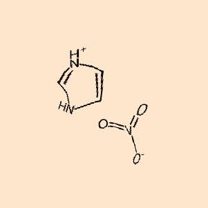 [O]=[V](=[O])[O-].c1c[nH+]c[nH]1